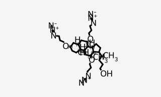 C[C@H](CCCO)C1CC[C@H]2[C@@H]3[C@H](OCCCN=[N+]=[N-])C[C@@H]4C[C@H](OCCCN=[N+]=[N-])CC[C@]4(C)[C@H]3C[C@H](OCCCN=[N+]=[N-])[C@]12C